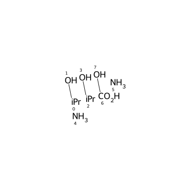 CC(C)O.CC(C)O.N.N.O=C(O)O